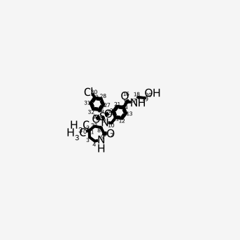 CC1(C)CCNC(=O)C(N(Cc2ccc(C(=O)NCCO)cc2)S(=O)(=O)c2ccc(Cl)cc2)C1